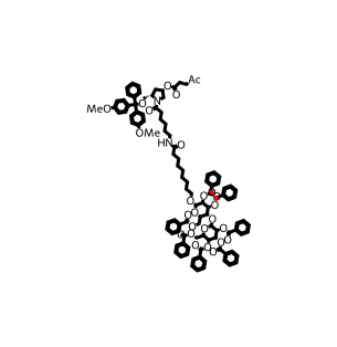 COc1ccc(C(OC[C@@H]2C[C@@H](OC(=O)CCC(C)=O)CN2C(=O)CCCCCNC(=O)CCCCCCCCOC2OC(COC(=O)c3ccccc3)C(OC3OC(COC(=O)c4ccccc4)C(OC(=O)c4ccccc4)C(OC(=O)c4ccccc4)C3OC(=O)c3ccccc3)C(OC(=O)c3ccccc3)C2OC(=O)c2ccccc2)(c2ccccc2)c2ccc(OC)cc2)cc1